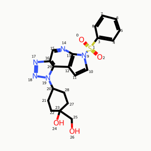 O=S(=O)(c1ccccc1)n1ccc2c1ncc1nnn(C3CCC(O)(CO)CC3)c12